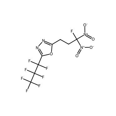 O=[N+]([O-])C(F)(CCc1nnc(C(F)(F)C(F)(F)C(F)(F)F)o1)[N+](=O)[O-]